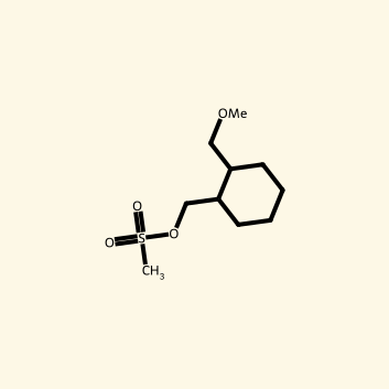 COCC1CCCCC1COS(C)(=O)=O